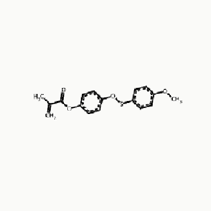 C=C(C)C(=O)Oc1ccc(OSc2ccc(OC)cc2)cc1